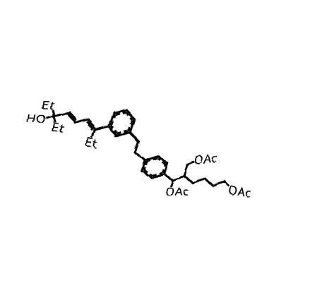 CC/C(=C\C=C\C(O)(CC)CC)c1cccc(CCc2ccc(C(OC(C)=O)C(CCCCOC(C)=O)COC(C)=O)cc2)c1